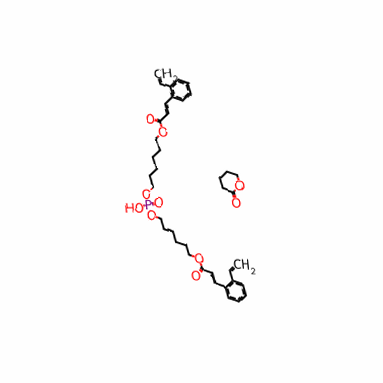 C=Cc1ccccc1C=CC(=O)OCCCCCCOP(=O)(O)OCCCCCCOC(=O)C=Cc1ccccc1C=C.O=C1CCCCO1